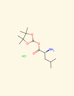 CC(C)C[C@H](N)C(=O)OB1OC(C)(C)C(C)(C)O1.Cl